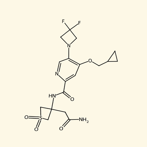 NC(=O)CC1(NC(=O)c2cc(OCC3CC3)c(N3CC(F)(F)C3)cn2)CS(=O)(=O)C1